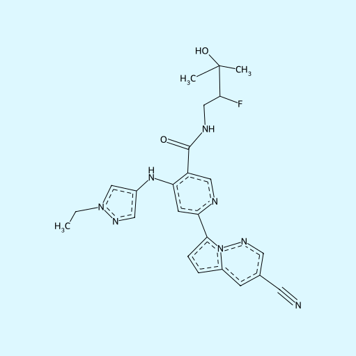 CCn1cc(Nc2cc(-c3ccc4cc(C#N)cnn34)ncc2C(=O)NCC(F)C(C)(C)O)cn1